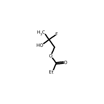 CCC(=O)OCC(C)(O)F